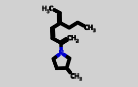 C=C(/C=C\C(=C/C)CCC)N1CCC(C)C1